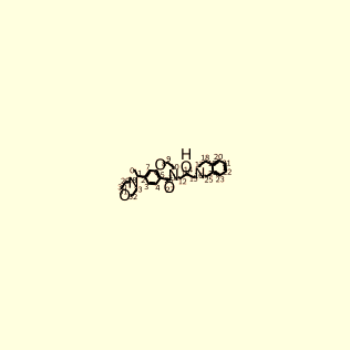 CC(c1ccc2c(c1)OCCN(CC(O)CN1CCc3ccccc3C1)C2=O)N1CCOCC1